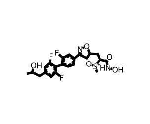 CC(O)Cc1cc(F)c(-c2ccc(C3=NOC(CC(C(=O)NO)[S+](C)[O-])C3)cc2F)c(F)c1